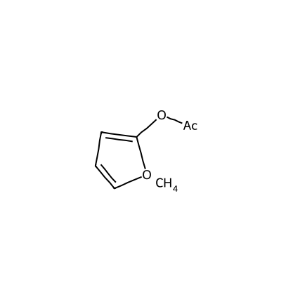 C.CC(=O)Oc1ccco1